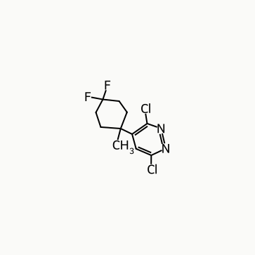 CC1(c2cc(Cl)nnc2Cl)CCC(F)(F)CC1